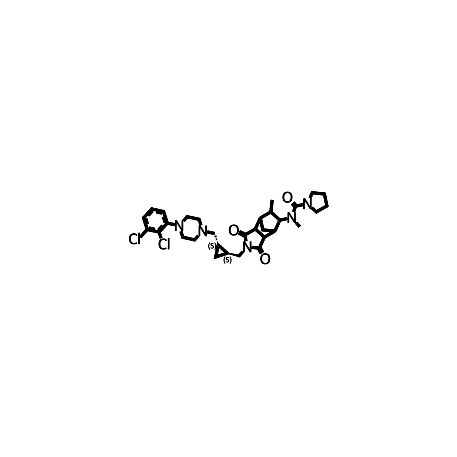 CC1C2CC(C3C(=O)N(C[C@H]4C[C@@H]4CN4CCN(c5cccc(Cl)c5Cl)CC4)C(=O)C23)C1N(C)C(=O)N1CCCC1